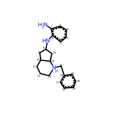 Nc1ccccc1NC1CC2CCCN(Cc3ccccc3)C2C1